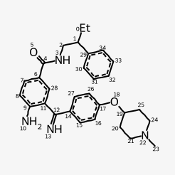 CCC(CNC(=O)c1ccc(N)c(C(=N)c2ccc(OC3CCN(C)CC3)cc2)c1)c1ccccc1